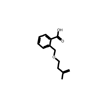 C=C(C)CCOCc1ccccc1C(=O)O